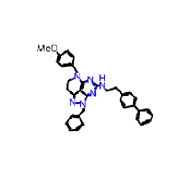 COc1ccc(CN2CCc3nn(Cc4ccccc4)c4nc(NCCc5ccc(-c6ccccc6)cc5)nc2c34)cc1